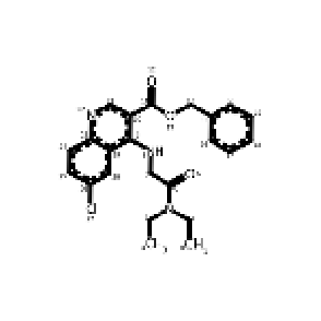 CCN(CC)C(=O)CNc1c(C(=O)OCc2ccccc2)cnc2ccc(Cl)cc12